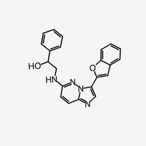 OC(CNc1ccc2ncc(-c3cc4ccccc4o3)n2n1)c1ccccc1